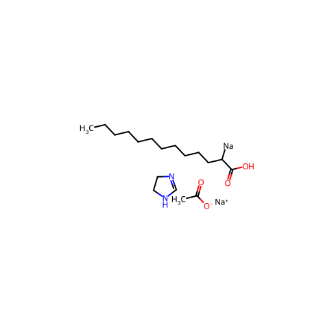 C1=NCCN1.CC(=O)[O-].CCCCCCCCCCC[CH]([Na])C(=O)O.[Na+]